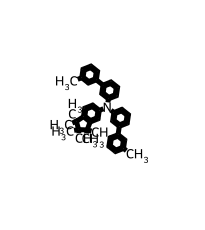 Cc1cccc(-c2cccc(N(c3cccc(-c4cccc(C)c4)c3)c3ccc4c(c3)C(C)(C)C(C)(C)C4(C)C)c2)c1